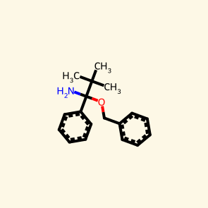 CC(C)(C)C(N)(OCc1ccccc1)c1ccccc1